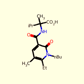 CCCCn1c(CC)c(C)cc(C(=O)NC(C)(C(=O)O)C(C)C)c1=O